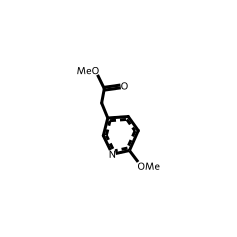 COC(=O)Cc1ccc(OC)nc1